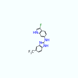 Fc1c[nH]c2cc(Nc3nc4cc(C(F)(F)F)ccc4[nH]3)ccc12